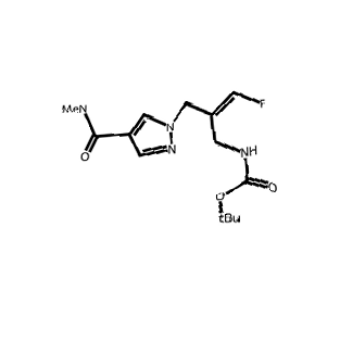 CNC(=O)c1cnn(CC(=CF)CNC(=O)OC(C)(C)C)c1